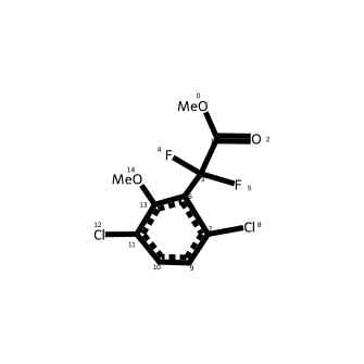 COC(=O)C(F)(F)c1c(Cl)ccc(Cl)c1OC